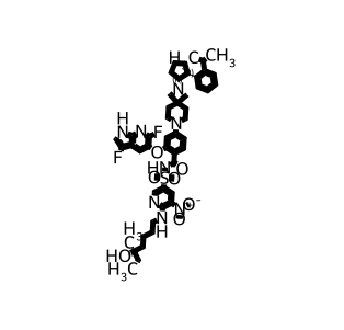 CC[C@@](C)(O)CCCCNc1ncc(S(=O)(=O)NC(=O)c2ccc(N3CCC4(CC3)CN([C@@H]3CCC[C@@H]3c3ccccc3C(C)C)C4)cc2Oc2cc3c(F)c[nH]c3nc2F)cc1[N+](=O)[O-]